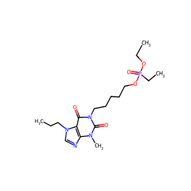 CCCn1cnc2c1c(=O)n(CCCCCOP(=O)(CC)OCC)c(=O)n2C